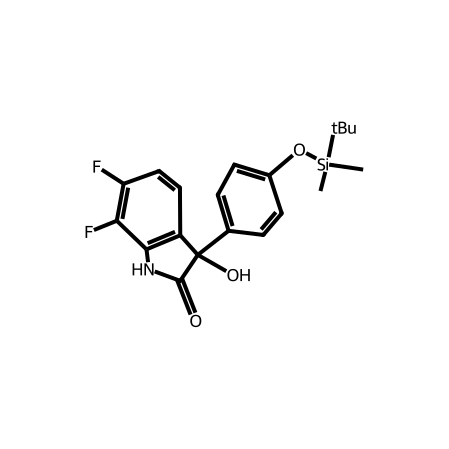 CC(C)(C)[Si](C)(C)Oc1ccc(C2(O)C(=O)Nc3c2ccc(F)c3F)cc1